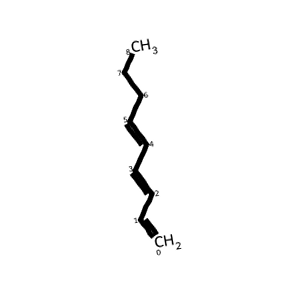 C=CC=CC=CCCC